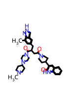 Cc1cc(CC(CC(=O)N2CCC(c3cc4ccccc4[nH]c3=O)CC2)C(=O)N2CCN(C3CCN(C)CC3)CC2)cc2c[nH]nc12